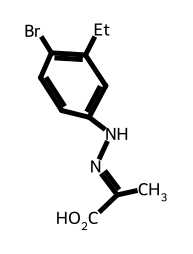 CCc1cc(N/N=C(\C)C(=O)O)ccc1Br